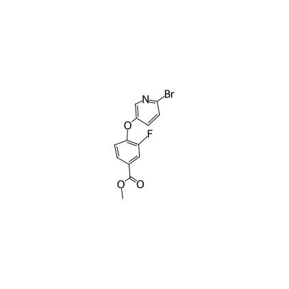 COC(=O)c1ccc(Oc2ccc(Br)nc2)c(F)c1